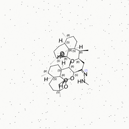 CN/N=C(/C[C@H]1O[C@@H]2C[C@]3(C)CC[C@H]4[C@H](C)CC[C@@H]([C@H]1C)[C@@]24OO3)[C@H]1O[C@@H]2C[C@]3(C)CC[C@H]4[C@H](C)CC[C@@H]([C@H]1C)[C@@]24OO3